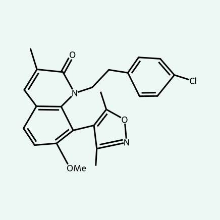 COc1ccc2cc(C)c(=O)n(CCc3ccc(Cl)cc3)c2c1-c1c(C)noc1C